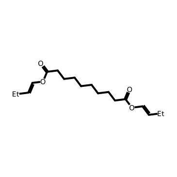 CCC=COC(=O)CCCCCCCCC(=O)OC=CCC